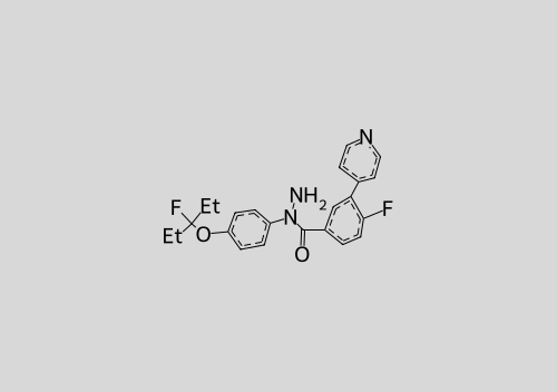 CCC(F)(CC)Oc1ccc(N(N)C(=O)c2ccc(F)c(-c3ccncc3)c2)cc1